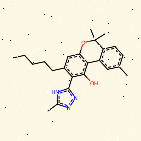 CCCCCc1cc2c(c(O)c1-c1nnc(C)[nH]1)-c1cc(C)ccc1C(C)(C)O2